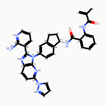 C=C(C)C(=O)Nc1ccccc1C(=O)N[C@H]1CCc2cc(-n3c(-c4cccnc4N)nc4ccc(-n5cccn5)nc43)ccc21